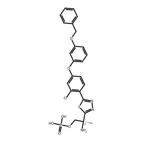 C[C@](N)(COP(=O)(O)O)c1nnc(-c2ccc(Oc3cccc(OCc4ccccc4)c3)cc2Cl)s1